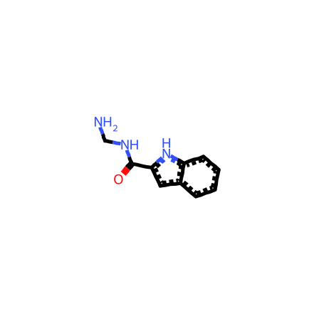 NCNC(=O)c1cc2ccccc2[nH]1